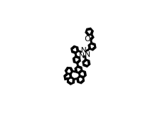 c1ccc(-c2nc(-c3cccc(-c4cc5ccccc5o4)c3)nc(-c3ccccc3-c3ccc(-c4cc5ccc6cccc7c8cccc9ccc%10cccc(c(c4)c5c67)c%10c98)cc3)n2)cc1